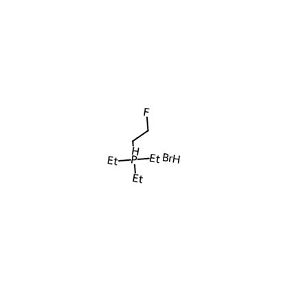 Br.CC[PH](CC)(CC)CCF